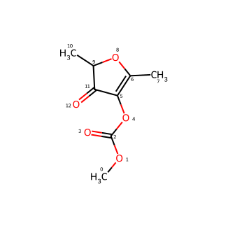 COC(=O)OC1=C(C)OC(C)C1=O